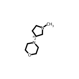 CN1CC[C@@H](N2CCOCC2)C1